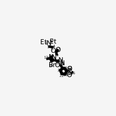 CCN(CC)CCOC(=O)Cn1nc(C)c(Br)c1-c1nnc(-c2cccc(S(C)(=O)=O)c2)o1